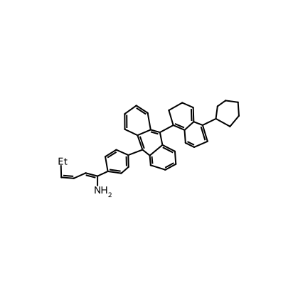 CC/C=C\C=C(/N)c1ccc(-c2c3ccccc3c(C3=c4cccc(C5CCCCC5)c4=CCC3)c3ccccc23)cc1